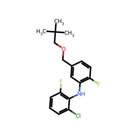 CC(C)(C)COCc1ccc(F)c(Nc2c(F)cccc2Cl)c1